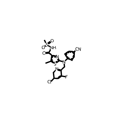 Cc1sc(N(CC2=NCC(Cl)C=C2F)c2ccc(C#N)cc2)nc1C(=O)NS(C)(=O)=O